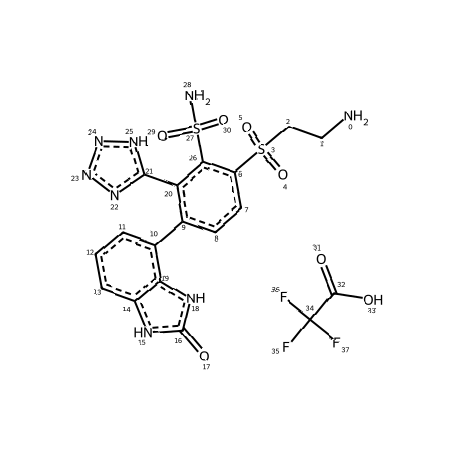 NCCS(=O)(=O)c1ccc(-c2cccc3[nH]c(=O)[nH]c23)c(-c2nnn[nH]2)c1S(N)(=O)=O.O=C(O)C(F)(F)F